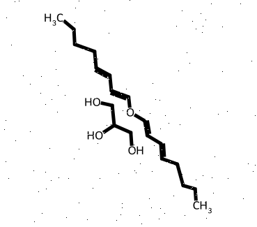 CCCC/C=C/C=C/O/C=C/C=C/CCCC.OCC(O)CO